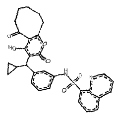 O=C1CCCCCc2oc(=O)c(C(c3cccc(NS(=O)(=O)c4cccc5cccnc45)c3)C3CC3)c(O)c21